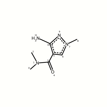 CN(C)C(=O)c1cn(C)nc1N